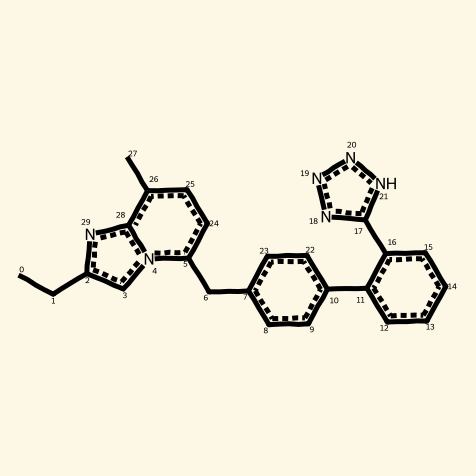 CCc1cn2c(Cc3ccc(-c4ccccc4-c4nnn[nH]4)cc3)ccc(C)c2n1